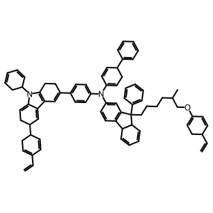 C=CC1=CCC(C2C=c3c4c(n(C5C=CC=CC5)c3=CC2)CCC(c2ccc(N(C3=CCC(c5ccccc5)C=C3)c3ccc5c(c3)C(CCCCC(C)COC3=CCC(C=C)C=C3)(c3ccccc3)C3C=CC=CC53)cc2)=C4)C=C1